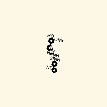 COc1cc(-c2ccc3ncc(NC(=S)Nc4ccc(C5(C#N)CCCC5)cc4)nc3n2)ccc1O